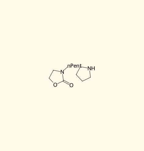 C1CCNC1.CCCCCN1CCOC1=O